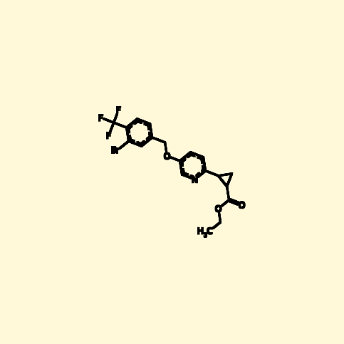 CCOC(=O)C1CC1c1ccc(OCc2ccc(C(F)(F)F)c(Br)c2)cn1